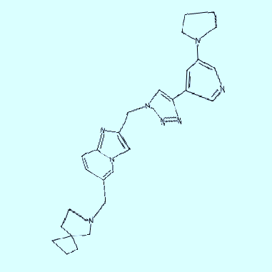 c1cc2nc(Cn3cc(-c4cncc(N5CCCC5)c4)nn3)cn2cc1CN1CCC2(CCC2)C1